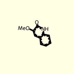 COc1cc2ccccc2[nH]c1=O